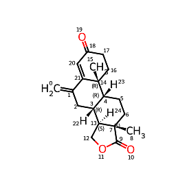 C=C1C[C@@H]2[C@@H](CC[C@]3(C)C(=O)OC[C@@H]23)[C@@]2(C)CCC(=O)C=C12